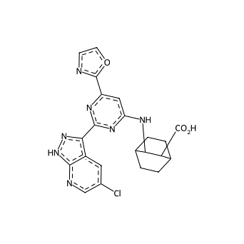 O=C(O)C1C2CCC(CC2)C1Nc1cc(-c2ncco2)nc(-c2n[nH]c3ncc(Cl)cc23)n1